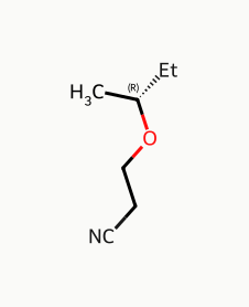 CC[C@@H](C)OCCC#N